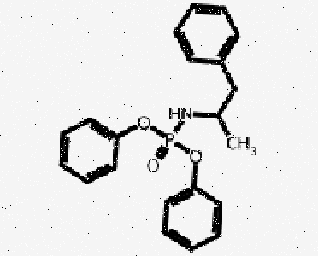 CC(Cc1ccccc1)NP(=O)(Oc1ccccc1)Oc1ccccc1